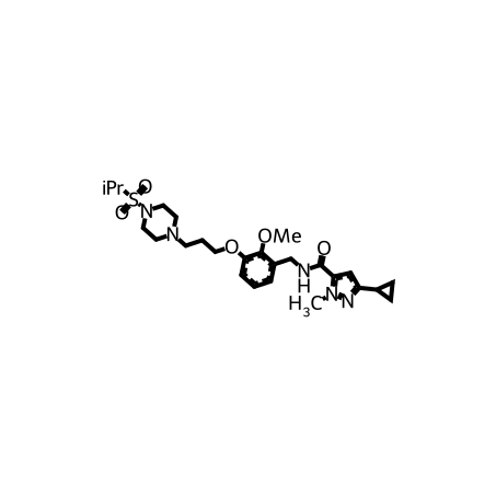 COc1c(CNC(=O)c2cc(C3CC3)nn2C)cccc1OCCCN1CCN(S(=O)(=O)C(C)C)CC1